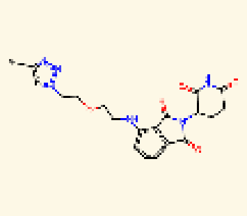 [2H]c1cn(CCOCCNc2cccc3c2C(=O)N(C2CCC(=O)NC2=O)C3=O)nn1